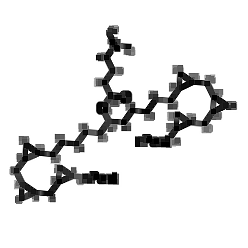 CCCCCC1CC1CC1CC1CC1CC1CCCCCC(CCCCCC1CC1CC1CC1CC1CC1CCCCC)OC(=O)CCCN(C)C